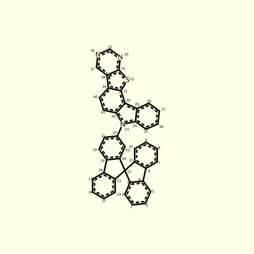 c1ccc2c(c1)-c1ccccc1C21c2ccccc2-c2ccc(-n3c4ccccc4c4c5sc6ncncc6c5ccc43)cc21